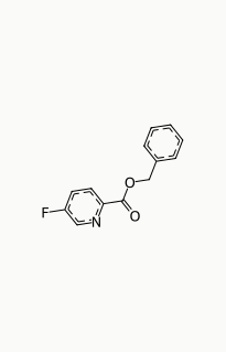 O=C(OCc1ccccc1)c1ccc(F)cn1